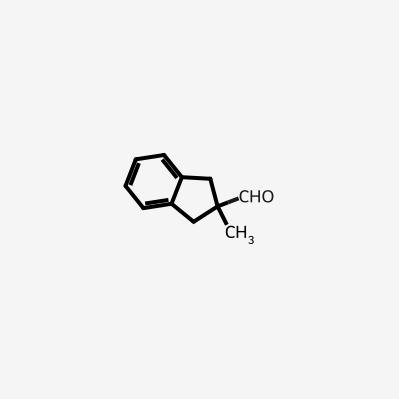 CC1(C=O)Cc2ccccc2C1